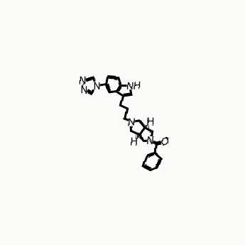 O=C(c1ccccc1)N1C[C@H]2CN(CCCc3c[nH]c4ccc(-n5cnnc5)cc34)C[C@H]2C1